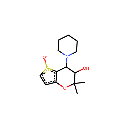 CC1(C)Oc2cc[s+]([O-])c2C(N2CCCCC2)C1O